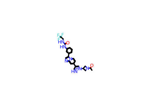 CC(=O)N1CC(N/C=C(\C=N)c2ccn3c(-c4cccc(NC(=O)NCC(F)(F)F)c4)cnc3c2)C1